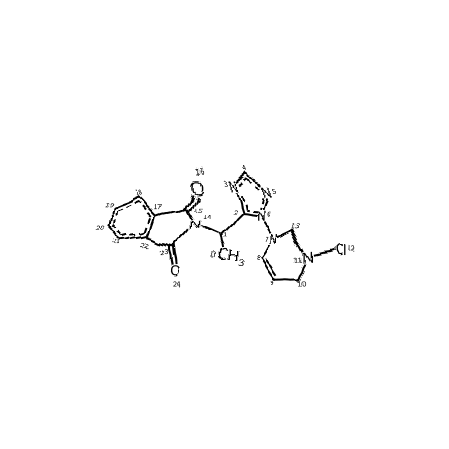 CC(c1ncnn1N1C=CCN(Cl)C1)N1C(=O)c2ccccc2C1=O